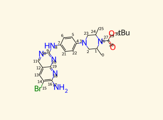 CC1CN(c2ccc(Nc3ncc4cc(Br)c(N)nc4n3)cc2)CC(C)N1C(=O)OC(C)(C)C